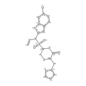 C=CC(c1cc2ccc(Cl)cc2s1)S(=O)(=O)N1CCN(Cc2cccs2)C(=O)C1